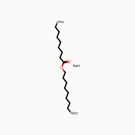 CCCCCCCCCCCCCCCCCCOC(=O)CCCCCCCCCCCCCCCCC.[NaH]